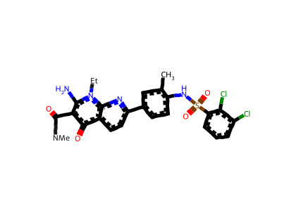 CCn1c(N)c(C(=O)NC)c(=O)c2ccc(-c3ccc(NS(=O)(=O)c4cccc(Cl)c4Cl)c(C)c3)nc21